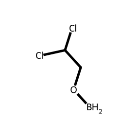 BOCC(Cl)Cl